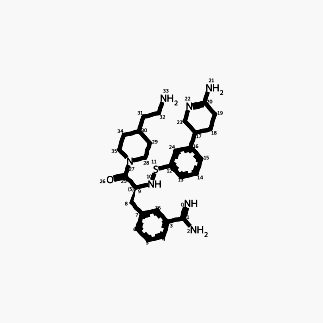 N=C(N)c1cccc(C[C@H](NSc2cccc(C3CCC(N)=NC3)c2)C(=O)N2CCC(CCN)CC2)c1